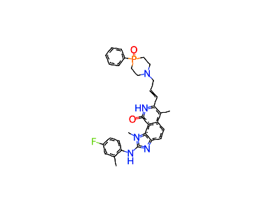 Cc1cc(F)ccc1Nc1nc2ccc3c(C)c(/C=C/CN4CCP(=O)(c5ccccc5)CC4)[nH]c(=O)c3c2n1C